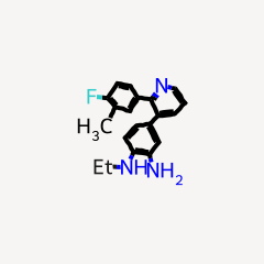 CCNc1ccc(-c2cccnc2-c2ccc(F)c(C)c2)cc1N